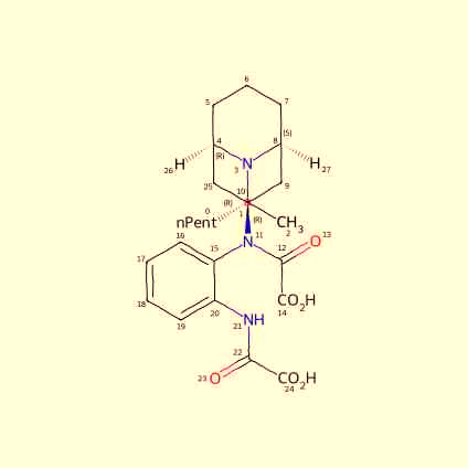 CCCCC[C@@H](C)N1[C@@H]2CCC[C@H]1C[C@@H](N(C(=O)C(=O)O)c1ccccc1NC(=O)C(=O)O)C2